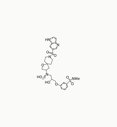 CNS(=O)(=O)c1cccc(OCC(O)CN(C(=O)O)C2COC3(CCN(S(=O)(=O)c4cnc5cc[nH]c5c4)CC3)C2)c1